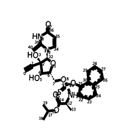 C#C[C@@]1(O)[C@H](O)[C@@H](COP(=S)(N[C@@H](C)C(=O)OC(C)C)Oc2cccc3ccccc23)O[C@H]1N1C=CC(=O)NC1=C